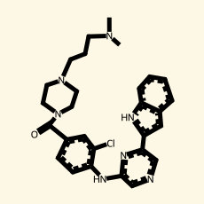 CN(C)CCCN1CCN(C(=O)c2ccc(Nc3cncc(-c4cc5ccccc5[nH]4)n3)c(Cl)c2)CC1